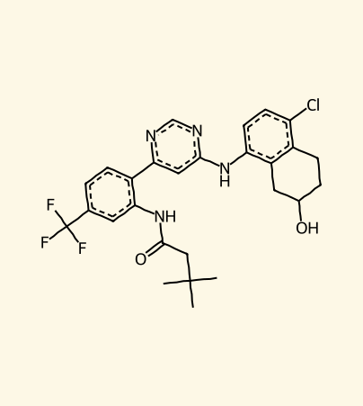 CC(C)(C)CC(=O)Nc1cc(C(F)(F)F)ccc1-c1cc(Nc2ccc(Cl)c3c2CC(O)CC3)ncn1